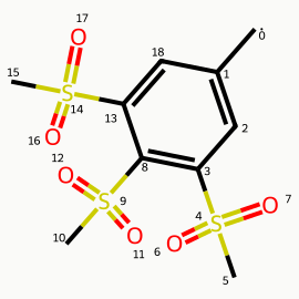 [CH2]c1cc(S(C)(=O)=O)c(S(C)(=O)=O)c(S(C)(=O)=O)c1